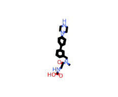 CN(Cc1cccc(-c2ccc(N3CCNCC3)cc2)c1)C(=O)CNC(=O)O